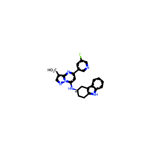 O=C(O)c1cnn2c(N[C@@H]3CCc4[nH]c5ccccc5c4C3)cc(-c3cncc(F)c3)nc12